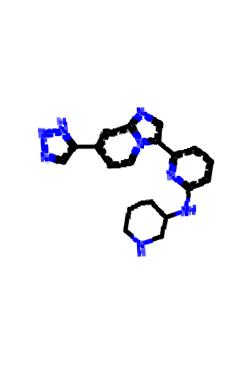 c1cc(NC2CCCNC2)nc(-c2cnc3cc(-c4cnn[nH]4)ccn23)c1